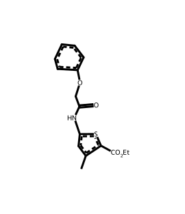 CCOC(=O)c1sc(NC(=O)COc2ccccc2)cc1C